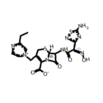 CCc1c[n+](CC2=C(C(=O)[O-])N3C(=O)C(NC(=O)/C(=N\O)c4nsc(N)n4)[C@H]3SC2)ccn1